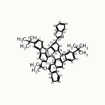 CC(C)(C)c1ccc2c(c1)c1cc(C(C)(C)C)cc3c1n2-c1cc(-c2nc4ccccc4s2)cc2c1B3c1c3ccc4ccc#cc4c3cc3c4ccc(C(C)(C)C)cc4n-2c13